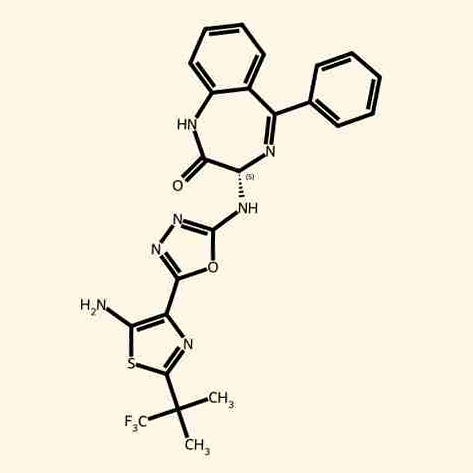 CC(C)(c1nc(-c2nnc(N[C@H]3N=C(c4ccccc4)c4ccccc4NC3=O)o2)c(N)s1)C(F)(F)F